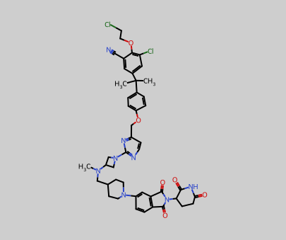 CN(CC1CCN(c2ccc3c(c2)C(=O)N(C2CCC(=O)NC2=O)C3=O)CC1)C1CN(c2nccc(COc3ccc(C(C)(C)c4cc(Cl)c(OCCCl)c(C#N)c4)cc3)n2)C1